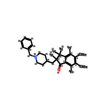 [2H]c1c(OC)c(OC)c([2H])c2c1C(=O)C([2H])(CC1CCN(Cc3ccccc3)CC1)C2([2H])[2H]